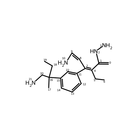 C=C(NN)/C(CC)=C(\C=C/N)c1cccc(C(C)(CC)CN)c1